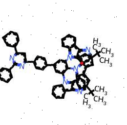 CC(C)(C)c1ccc2c(c1)c1cc(C(C)(C)C)ccc1n2-c1c(-n2c3ccccc3c3ncccc32)cc(-c2ccc(-c3cc(-c4ccccc4)nc(-c4ccccc4)n3)cc2)cc1-n1c2ccccc2c2ncccc21